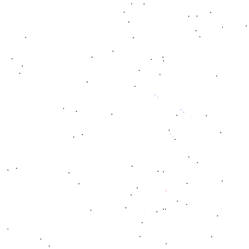 CCO[PH](=O)C(F)(F)C(O)c1ccc2c(c1)nc(N)c1ncc(CCc3ccc(OC)cc3C)cc12